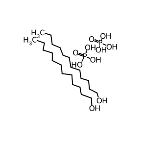 CCCCCCCCCCCCO.CCCCCCCCCCCCO.O=P(O)(O)O.O=P(O)(O)O